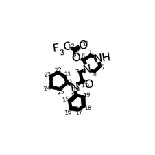 O=C(CN1CCNCC1OC(=O)C(F)(F)F)N(c1ccccc1)C1CCCCC1